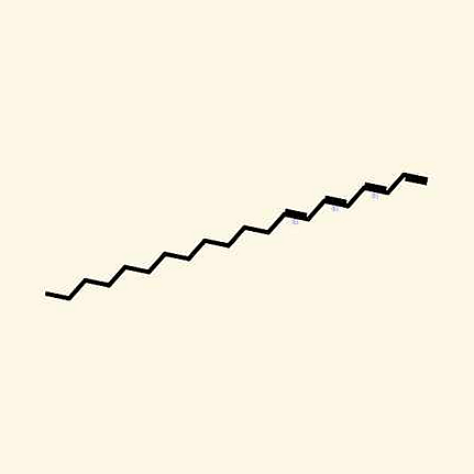 C=C/C=C/C=C/C=C/CCCCCCCCCCCC